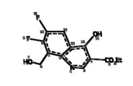 CCOC(=O)c1cnc2c(CO)c(F)c(F)cc2c1O